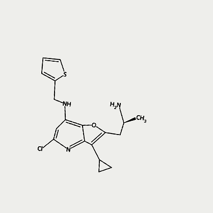 C[C@H](N)Cc1oc2c(NCc3cccs3)cc(Cl)nc2c1C1CC1